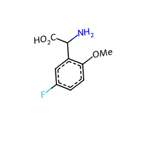 COc1ccc(F)cc1C(N)C(=O)O